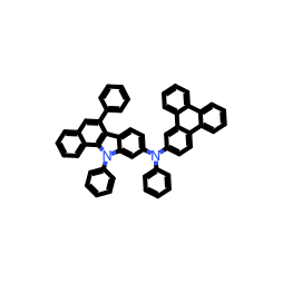 c1ccc(-c2cc3ccccc3c3c2c2ccc(N(c4ccccc4)c4ccc5c6ccccc6c6ccccc6c5c4)cc2n3-c2ccccc2)cc1